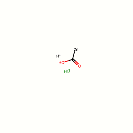 Cl.O=[C](O)[Zn].[H+]